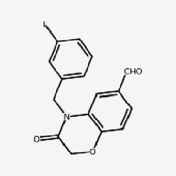 O=Cc1ccc2c(c1)N(Cc1cccc(I)c1)C(=O)CO2